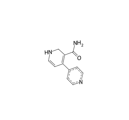 NC(=O)C1=C(c2ccncc2)C=CNC1